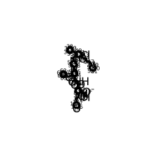 O=C(NS(=O)(=O)c1ccc(NCC2CCOCC2)c([N+](=O)[O-])c1)c1ccc(N2CCN(CC3=C(c4ccccc4)C=CC(Cl)(OCCCN4CCCCC4)C3)CC2)cc1Oc1ccccc1